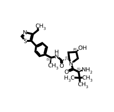 CCc1ncsc1-c1ccc([C@H](C)NC(=O)[C@@H]2C[C@@H](O)CN2C(=O)[C@@H](N)C(C)(C)C)cc1